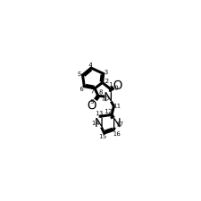 O=C1c2ccccc2C(=O)N1Cc1cnccn1